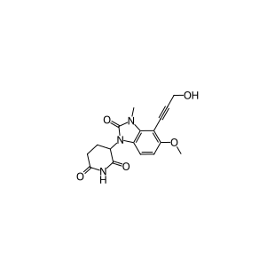 COc1ccc2c(c1C#CCO)n(C)c(=O)n2C1CCC(=O)NC1=O